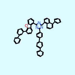 c1ccc(-c2ccc(-c3ccc(-c4nc(-c5cccc6c(-c7ccccc7)cccc56)nc(-c5cccc6oc7c(-c8cccc(-c9ccccc9)c8)cccc7c56)n4)cc3)cc2)cc1